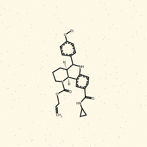 C=CCOC(=O)N1CCC[C@H]2C(c3ccc(OCC)cc3)Nc3ccc(C(=O)NC4CC4)cc3[C@H]21